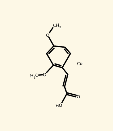 COc1ccc(C=CC(=O)O)c(OC)c1.[Cu]